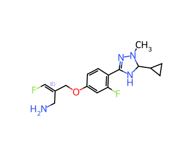 CN1N=C(c2ccc(OC/C(=C/F)CN)cc2F)NC1C1CC1